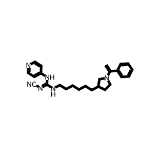 C=C(c1ccccc1)N1CCC(CCCCCCN/C(=N/C#N)Nc2ccncc2)C1